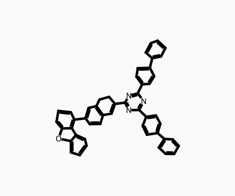 C1=C(c2nc(-c3ccc(-c4ccccc4)cc3)nc(-c3ccc(-c4ccccc4)cc3)n2)CCc2cc(-c3cccc4oc5ccccc5c34)ccc21